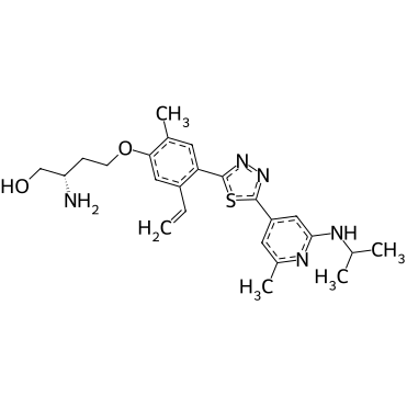 C=Cc1cc(OCC[C@H](N)CO)c(C)cc1-c1nnc(-c2cc(C)nc(NC(C)C)c2)s1